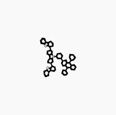 c1ccc(-c2c3ccccc3c(-c3ccccc3)c3cc(-c4cccc(-n5c6cc(-c7cccc8c7oc7ccccc78)ccc6c6ccc(-c7cccc8c7oc7ccccc78)cc65)c4)ccc23)cc1